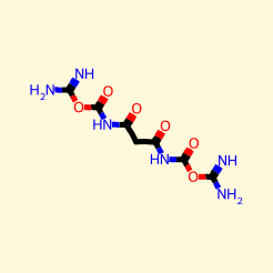 N=C(N)OC(=O)NC(=O)CC(=O)NC(=O)OC(=N)N